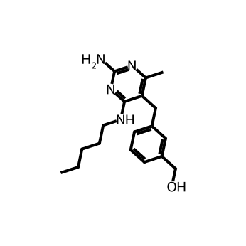 CCCCCNc1nc(N)nc(C)c1Cc1cccc(CO)c1